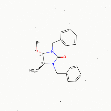 CC(C)O[C@H]1[C@H](C(=O)O)N(Cc2ccccc2)C(=O)N1Cc1ccccc1